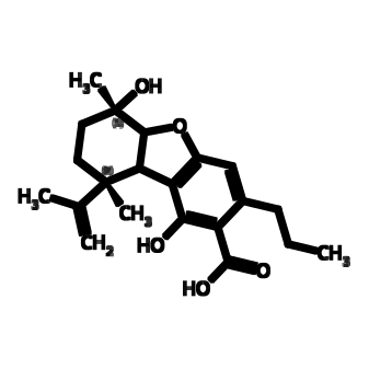 C=C(C)[C@]1(C)CC[C@](C)(O)C2Oc3cc(CCC)c(C(=O)O)c(O)c3C21